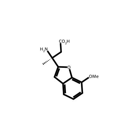 COc1cccc2cc([C@@](C)(N)CC(=O)O)oc12